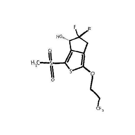 CS(=O)(=O)c1sc(OCCC(F)(F)F)c2c1[C@H](O)C(F)(F)C2